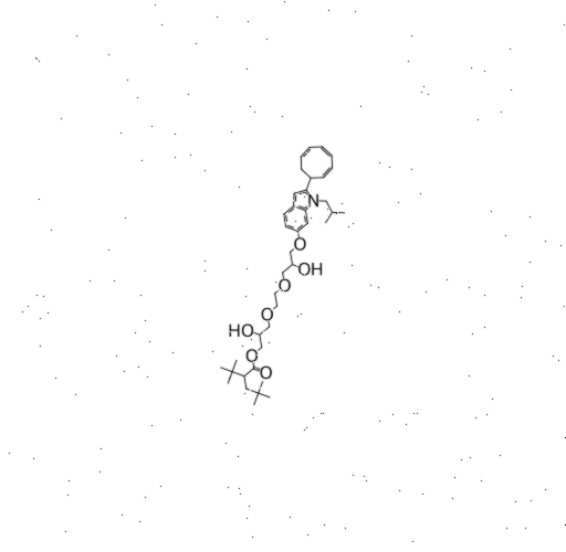 CC(C)Cn1c(C2C=C/C=C\C=C/C2)cc2ccc(OCC(O)COCCOCC(O)COC(=O)C(CC(C)(C)C)C(C)(C)C)cc21